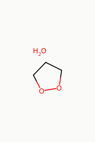 C1COOC1.O